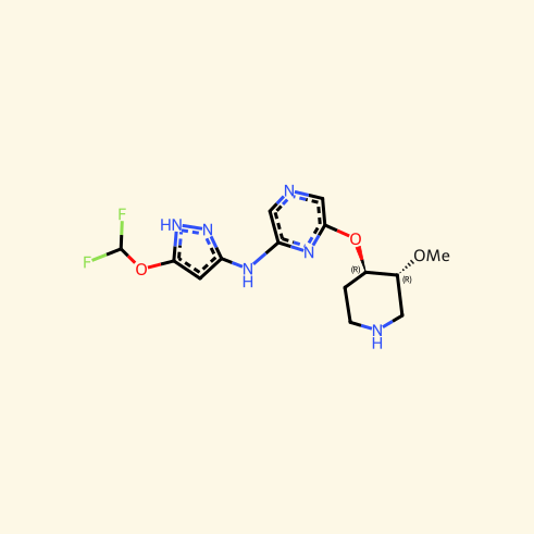 CO[C@@H]1CNCC[C@H]1Oc1cncc(Nc2cc(OC(F)F)[nH]n2)n1